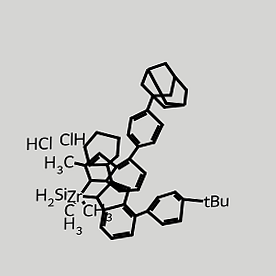 CC1=Cc2c(-c3ccc(C45CC6CC(CC(C6)C4)C5)cc3)cccc2[CH]1[Zr]([CH3])([CH3])(=[SiH2])[CH]1C(C2CCCCC2)=Cc2c(-c3ccc(C(C)(C)C)cc3)cccc21.Cl.Cl